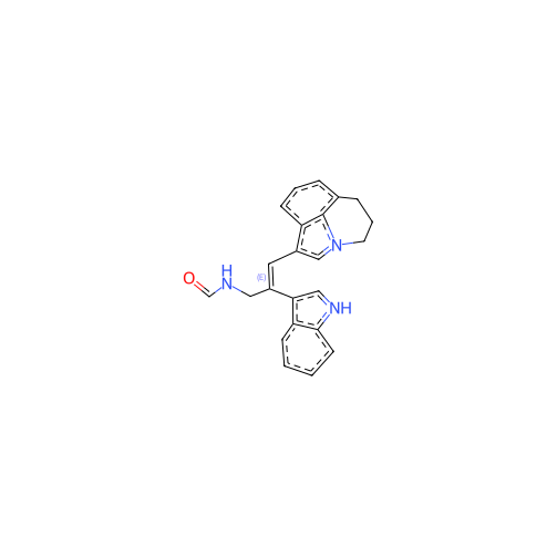 O=CNC/C(=C/c1cn2c3c(cccc13)CCC2)c1c[nH]c2ccccc12